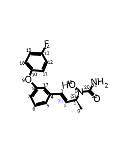 C[C@@H](/C=C/c1cccc(Oc2ccc(F)cc2)c1)N(O)C(N)=O